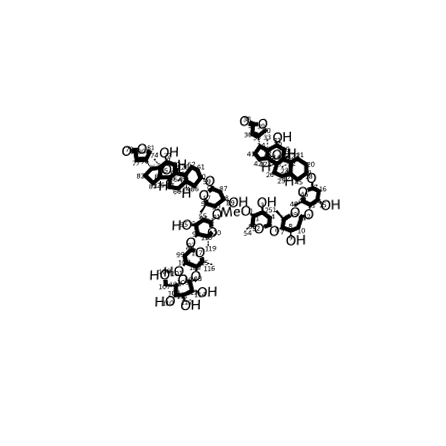 CO[C@H]1[C@@H](O)C[C@H](O[C@H]2[C@@H](O)C[C@H](O[C@H]3[C@@H](O)C[C@H](O[C@H]4CC[C@@]5(C)[C@H](CC[C@@H]6[C@@H]5C[C@@H](O)[C@]5(C)[C@@H](C7=CC(=O)OC7)CC[C@]65O)C4)O[C@@H]3C)O[C@@H]2C)O[C@@H]1C.C[C@H]1O[C@@H](O[C@H]2CC[C@@]3(C)[C@H](CC[C@@H]4[C@@H]3C[C@@H](O)[C@]3(C)[C@@H](C5=CC(=O)OC5)CC[C@]43O)C2)C[C@H](O)[C@@H]1O[C@H]1C[C@H](O)[C@H](O[C@H]2C[C@H](O)[C@H](O[C@@H]3O[C@H](CO)[C@@H](O)[C@H](O)[C@H]3O)[C@@H](C)O2)[C@@H](C)O1